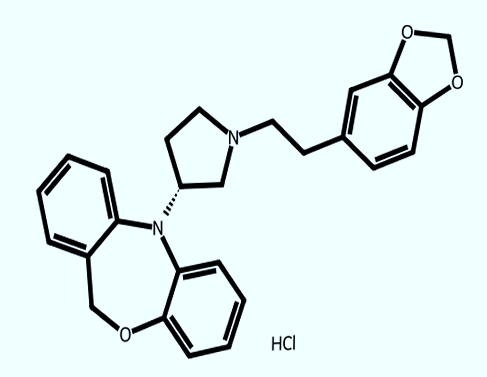 Cl.c1ccc2c(c1)COc1ccccc1N2[C@@H]1CCN(CCc2ccc3c(c2)OCO3)C1